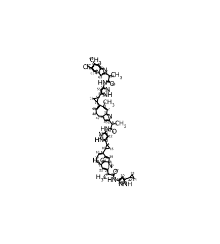 CC1=C/C2=NC(C(C)C(=O)Nc3cc(C4CC4C4=C/CCC5C=C([C@H](C)C(=O)Nc6cc(C7CC7)[nH]n6)N=C(\C=C\4C)C5)[nH]n3)=CC2CC/C=C\1C1CC1c1cc(NC(=O)[C@H](C)c2cn3cc(Cl)c(C)cc3n2)n[nH]1